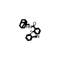 N#Cc1ccccc1Sc1ccccc1C(=O)NCC12CC3CC(CC(C3)C1)C2